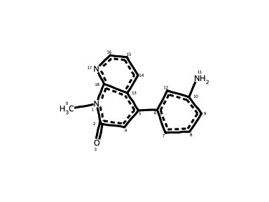 Cn1c(=O)cc(-c2cccc(N)c2)c2cccnc21